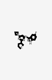 Fc1ccc2[nH]nc(Nc3cc(N4CCC4)nc(C4CCCCC4)n3)c2c1